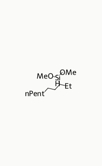 CCCCCCCC(CC)[SiH](OC)OC